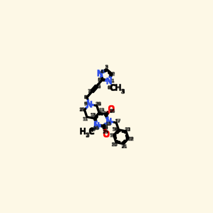 Cn1ccnc1C#CCN1CCc2c(c(=O)n(Cc3ccccc3)c(=O)n2C)C1